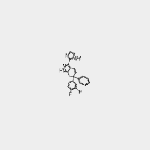 Fc1ccc(C2(c3ccccc3)C=Cc3c(-c4ncc[nH]4)n[nH]c3C2)cc1F